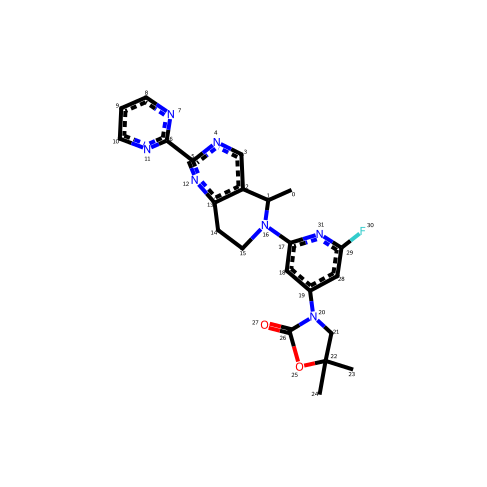 CC1c2cnc(-c3ncccn3)nc2CCN1c1cc(N2CC(C)(C)OC2=O)cc(F)n1